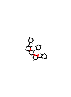 CC(C)(C)c1ccc2c(c1)c1cc(C(C)(C)C)ccc1n2-c1cc(C#N)cc(-n2c3ccc(C(C)(C)C)cc3c3cc(C(C)(C)C)ccc32)c1-c1c(C(F)(F)F)cccc1C(F)(F)F